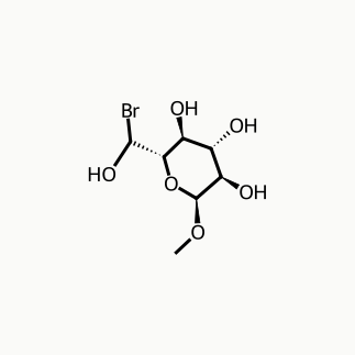 CO[C@H]1O[C@H](C(O)Br)[C@@H](O)[C@H](O)[C@H]1O